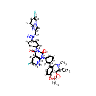 COC[C@H](C)N(C)Cc1cc(O)ccc1-c1cccc(-n2c(=O)n(C3CCC(NCc4cn5cc(F)ccc5n4)CC3)c(=O)c3cc(F)cnc32)c1